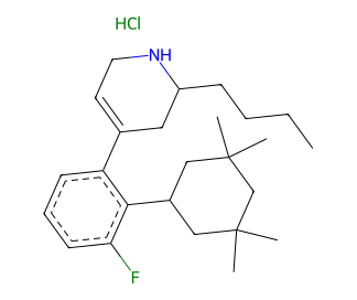 CCCCC1CC(c2cccc(F)c2C2CC(C)(C)CC(C)(C)C2)=CCN1.Cl